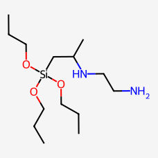 CCCO[Si](CC(C)NCCN)(OCCC)OCCC